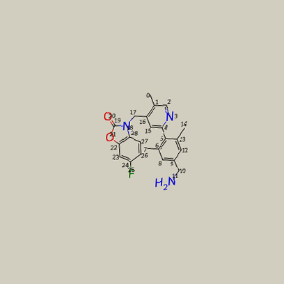 Cc1cnc(-c2c(C)cc(CN)cc2C)cc1Cn1c(=O)oc2cc(F)ccc21